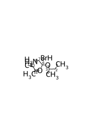 Br.CCC(C)OC(CN)OC(C)CC